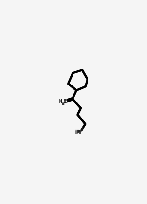 C=C(CCCC(C)C)C1CCCCC1